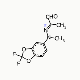 C/C(C=O)=N\N(C)c1ccc2c(c1)OC(F)(F)O2